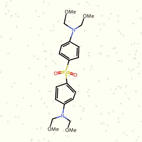 COCN(COC)c1ccc(S(=O)(=O)c2ccc(N(COC)COC)cc2)cc1